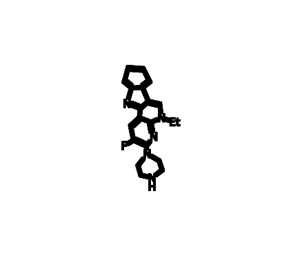 CCn1cc2c3ccccc3nc-2c2cc(F)c(N3CCNCC3)nc21